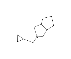 C1CC2CN(CC3CC3)CC2C1